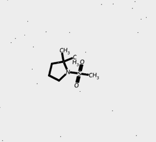 CC1(C)CCCN1S(C)(=O)=O